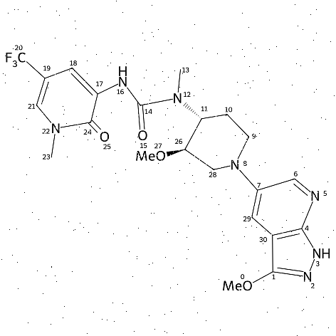 COc1n[nH]c2ncc(N3CC[C@@H](N(C)C(=O)Nc4cc(C(F)(F)F)cn(C)c4=O)[C@H](OC)C3)cc12